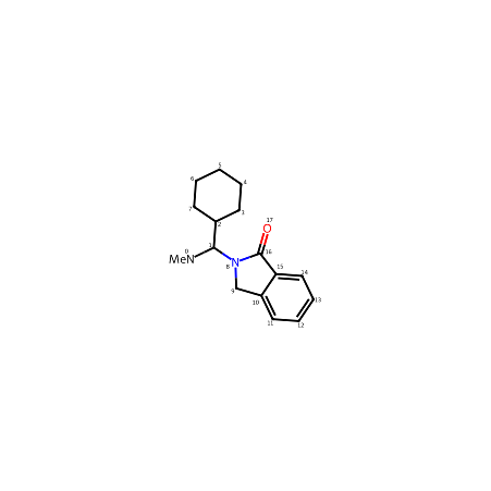 CNC(C1CCCCC1)N1Cc2ccccc2C1=O